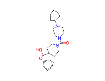 O=C(N1CCN(C2CCCCC2)CC1)N1CCC(C(=O)O)(c2ccccc2)CC1